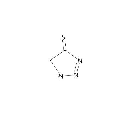 S=C1C[N]N=N1